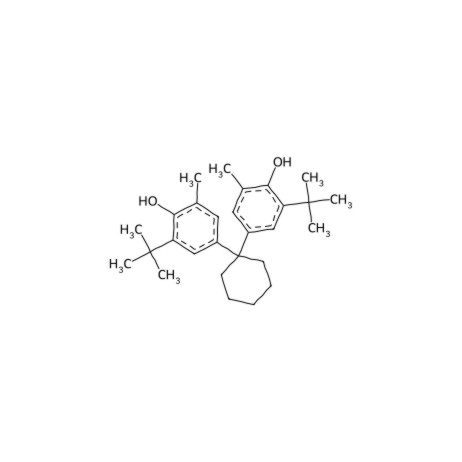 Cc1cc(C2(c3cc(C)c(O)c(C(C)(C)C)c3)CCCCC2)cc(C(C)(C)C)c1O